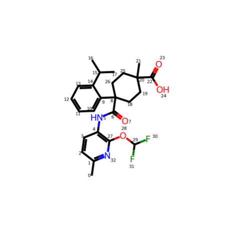 Cc1ccc(NC(=O)C2(c3ccccc3C(C)C)CCC(C)(C(=O)O)CC2)c(OC(F)F)n1